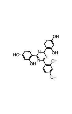 OC1=CC(O)=C(c2nc(-c3ccc(O)cc3O)nc(-c3ccc(O)cc3O)n2)CC1